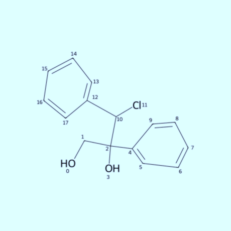 OCC(O)(c1ccccc1)C(Cl)c1ccccc1